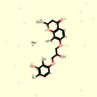 CCCc1c(OCC(O)COc2ccc3c(c2CCC)OC(C(=O)[O-])CC3=O)ccc(C(C)=O)c1O.[Na+]